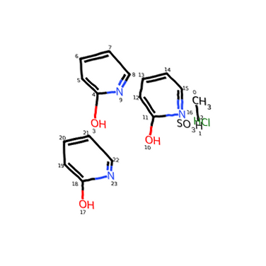 CS(=O)(=O)O.Cl.Oc1ccccn1.Oc1ccccn1.Oc1ccccn1